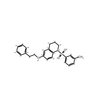 Cc1cccc(S(=O)(=O)N2CCCc3cc(OCCc4ccccc4)ccc32)c1